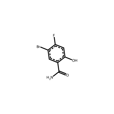 NC(=O)c1cc(Br)c(F)cc1O